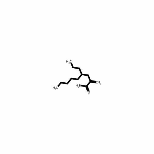 C=C(CC(CCC)CCCCC)C(N)=O